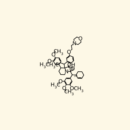 CCC(c1cccc(OCCN2CCOCC2)c1)C1(C(=O)O)C(c2ccc(OC)c(OC)c2)CCCN1C(=O)C(c1cc(OC)c(OC)c(OC)c1)[C@@H]1C=CCCC1